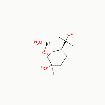 CC(C)(O)[C@H]1CC[C@@](C)(O)CC1.CCO.O